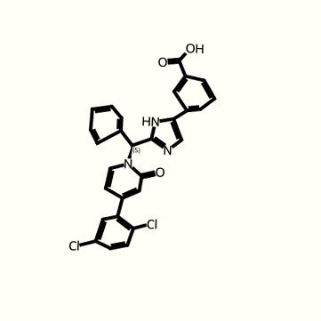 O=C(O)c1cccc(-c2cnc([C@H](c3ccccc3)n3ccc(-c4cc(Cl)ccc4Cl)cc3=O)[nH]2)c1